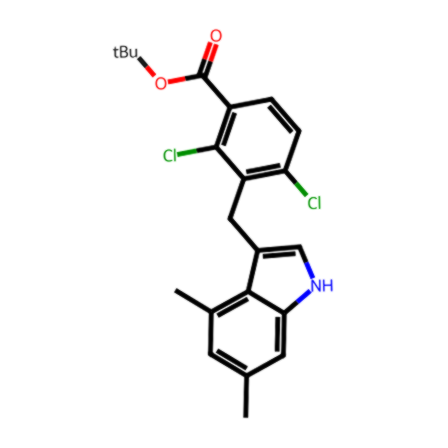 Cc1cc(C)c2c(Cc3c(Cl)ccc(C(=O)OC(C)(C)C)c3Cl)c[nH]c2c1